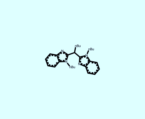 CCCCC(c1nc2ccccc2n1CCCC)c1nc2ccccc2n1CCCC